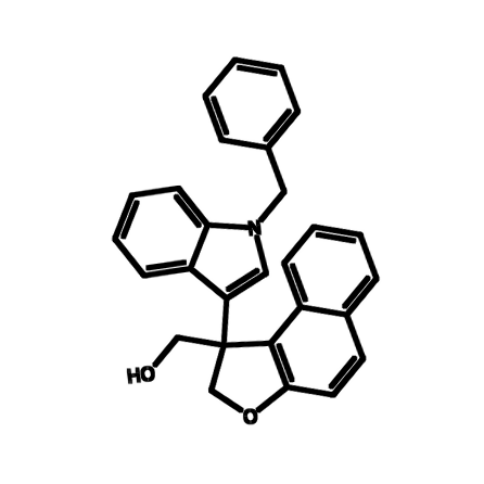 OCC1(c2cn(Cc3ccccc3)c3ccccc23)COc2ccc3ccccc3c21